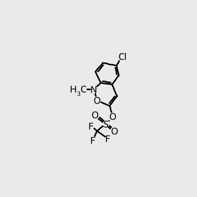 CN1OC(OS(=O)(=O)C(F)(F)F)=Cc2cc(Cl)ccc21